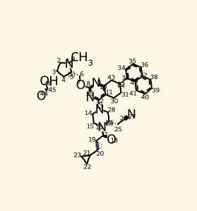 CN1CCC[C@H]1COc1nc2c(c(N3CCN(C(=O)/C=C/C4CC4)[C@@H](CC#N)C3)n1)CC[C@H](c1cccc3ccccc13)C2.O=CO